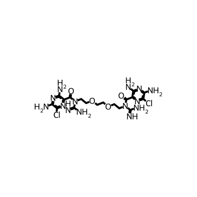 N=C(N)N(CCOCCOCCN(C(=N)N)C(=O)c1nc(Cl)c(N)nc1N)C(=O)c1nc(Cl)c(N)nc1N